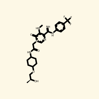 CNc1c(C(=N)Nc2ccc(C(F)(F)F)cc2)ncn(CC(=O)NC2CCC(OC[C@H](C)O)CC2)c1=O